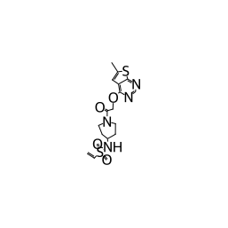 C=CS(=O)(=O)NC1CCN(C(=O)COc2ncnc3sc(C)cc23)CC1